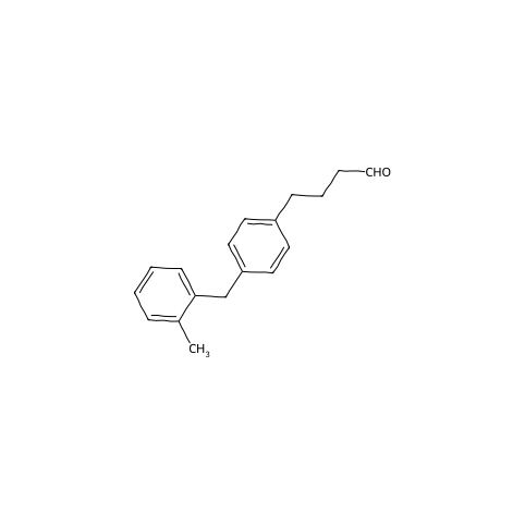 Cc1ccccc1Cc1ccc(CCCC=O)cc1